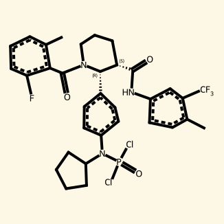 Cc1ccc(NC(=O)[C@H]2CCCN(C(=O)c3c(C)cccc3F)[C@H]2c2ccc(N(C3CCCC3)P(=O)(Cl)Cl)cc2)cc1C(F)(F)F